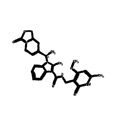 COc1cc(C)[nH]c(=O)c1CNC(=O)c1c(C)n([C@H](C)C2CCN3C(=O)OCC3C2)c2ccccc12